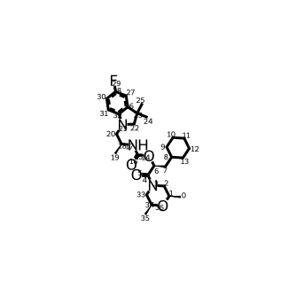 C[C@@H]1CN(C(=O)[C@H](CC2CCCCC2)OC(=O)N[C@@H](C)CN2CC(C)(C)c3cc(F)ccc32)C[C@H](C)O1